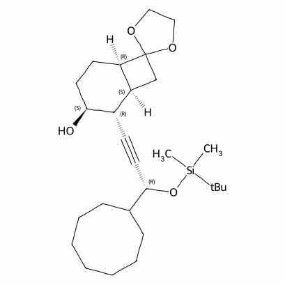 CC(C)(C)[Si](C)(C)O[C@@H](C#C[C@H]1[C@@H]2CC3(OCCO3)[C@@H]2CC[C@@H]1O)C1CCCCCCC1